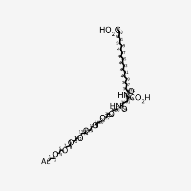 CC(=O)CCOCCOCCOCCOCCOCCOCCOCCOCCNC(=O)CC[C@H](NC(=O)CCCCCCCCCCCCCCCCCCC(=O)O)C(=O)O